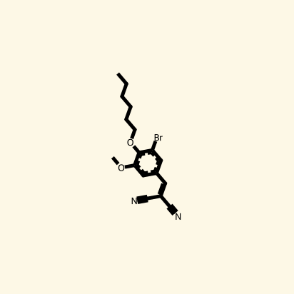 CCCCCCOc1c(Br)cc(C=C(C#N)C#N)cc1OC